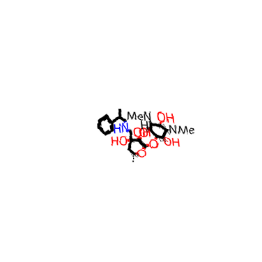 CNC1[C@H]2OC3(O)C(OC2[C@@H](O)[C@H](NC)[C@@H]1O)O[C@H](C)CC3(O)CNCC(C)c1ccccc1